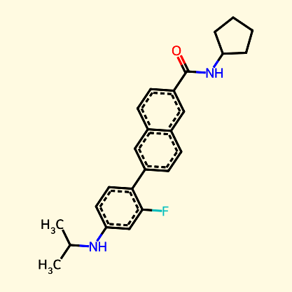 CC(C)Nc1ccc(-c2ccc3cc(C(=O)NC4CCCC4)ccc3c2)c(F)c1